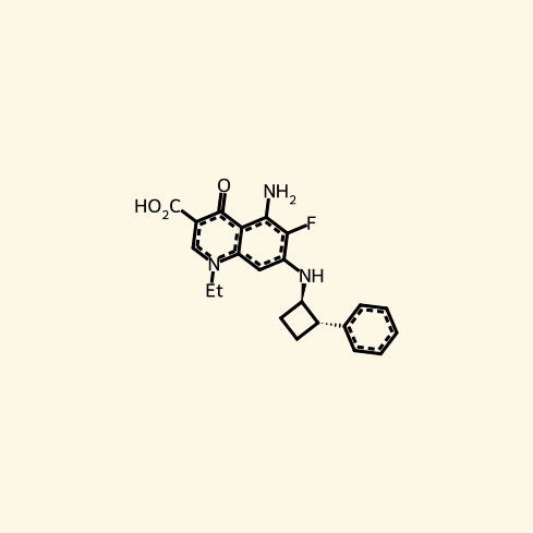 CCn1cc(C(=O)O)c(=O)c2c(N)c(F)c(N[C@@H]3CC[C@H]3c3ccccc3)cc21